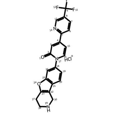 Cl.O=c1cc(-c2ccc(C(F)(F)F)cn2)ccn1-c1ccc2c3c(oc2c1)CCNC3